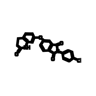 O=C1CCc2ccc(Oc3ccc4c(c3)C(=O)N(c3ccc(Cl)cc3)C4=O)cc2N1